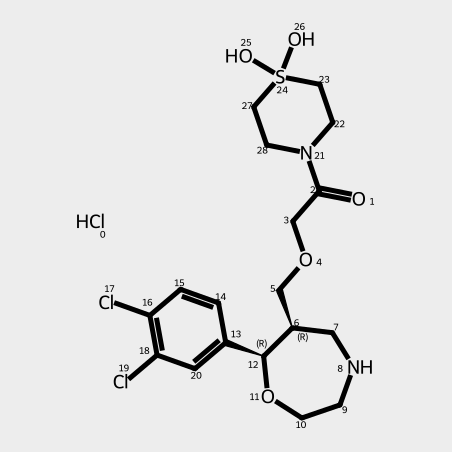 Cl.O=C(COC[C@H]1CNCCO[C@H]1c1ccc(Cl)c(Cl)c1)N1CCS(O)(O)CC1